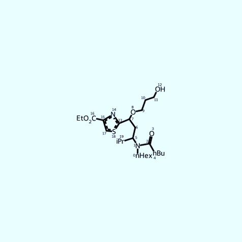 CCCCCCN(C(=O)CCCC)C(CC(OCCCO)c1nc(C(=O)OCC)cs1)C(C)C